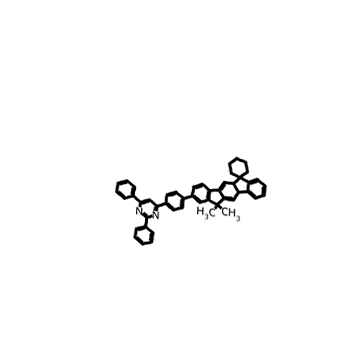 CC1(C)C2=CC3c4ccccc4C4(CCCCC4)C3C=C2c2ccc(-c3ccc(-c4cc(-c5ccccc5)nc(-c5ccccc5)n4)cc3)cc21